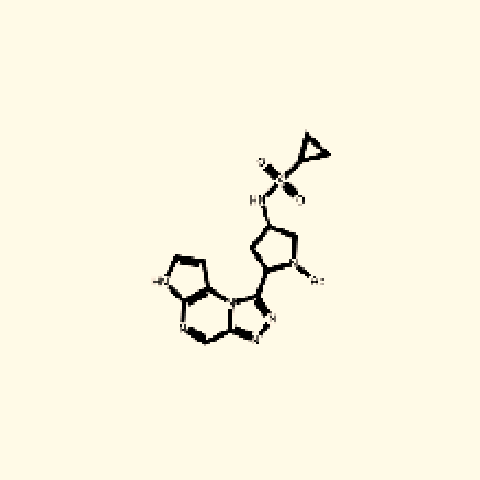 CC(=O)N1C[C@H](NS(=O)(=O)C2CC2)CC1c1nnc2cnc3[nH]ccc3n12